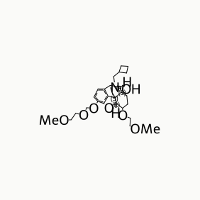 COCCOCOc1ccc2c3c1O[C@H]1C(OCCOC)CC[C@@]4(O)[C@@H](C2)N(CC2CCC2)CC[C@]314